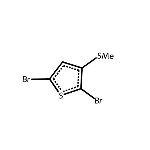 CSc1cc(Br)sc1Br